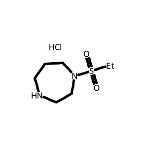 CCS(=O)(=O)N1CCCNCC1.Cl